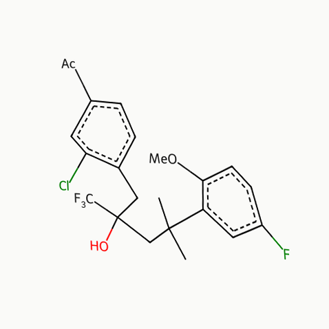 COc1ccc(F)cc1C(C)(C)CC(O)(Cc1ccc(C(C)=O)cc1Cl)C(F)(F)F